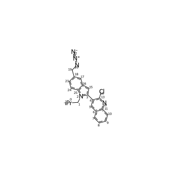 C[C](C)Cn1c(-c2cc3ccccc3nc2Cl)cc2cc(CN=[N+]=[N-])ccc21